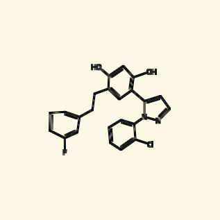 Oc1cc(O)c(-c2ccnn2-c2ccccc2Cl)cc1CCc1cccc(F)c1